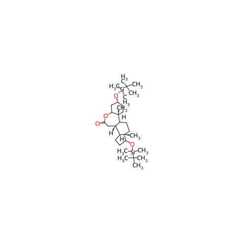 CC(C)(C)[Si](C)(C)O[C@H]1CC[C@@]2(C)C(C1)OC(=O)C[C@H]1[C@@H]3CC[C@H](O[Si](C)(C)C(C)(C)C)[C@@]3(C)CC[C@@H]12